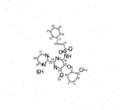 COc1ccccc1Oc1c(NS(=O)(=O)C=Cc2ccccc2)nc(-c2ncccn2)nc1OC.[KH]